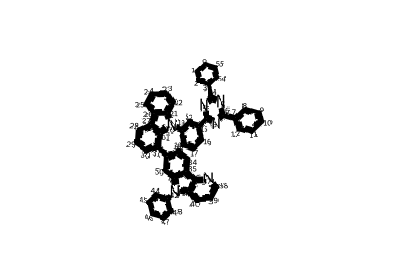 c1ccc(-c2nc(-c3ccccc3)nc(-c3cccc(-n4c5ccccc5c5cccc(-c6ccc7c8ncccc8n(-c8ccccc8)c7c6)c54)c3)n2)cc1